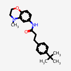 CN1CCOc2ccc(NC(=O)CCc3ccc(C(C)(C)C)cc3)cc21